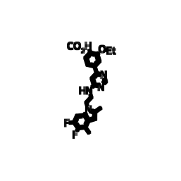 CCOc1cc(-c2cc(NCCn3c(C)cc4c(C)c(F)c(F)cc43)ncn2)ccc1C(=O)O